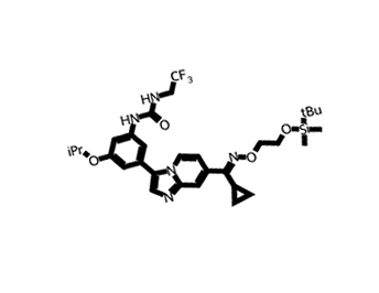 CC(C)Oc1cc(NC(=O)NCC(F)(F)F)cc(-c2cnc3cc(/C(=N/OCCO[Si](C)(C)C(C)(C)C)C4CC4)ccn23)c1